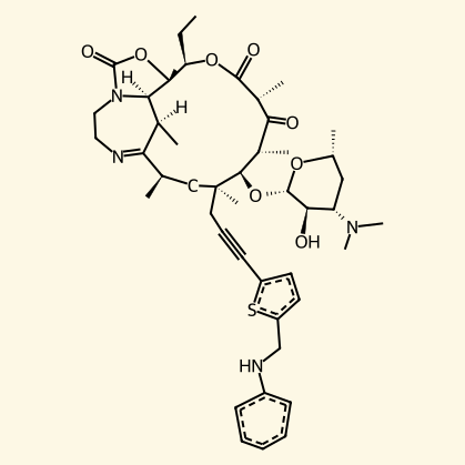 CC[C@H]1OC(=O)[C@H](C)C(=O)[C@H](C)[C@@H](O[C@@H]2O[C@H](C)C[C@H](N(C)C)[C@H]2O)[C@@](C)(CC#Cc2ccc(CNc3ccccc3)s2)C[C@@H](C)C2=NCCN3C(=O)O[C@@]1(C)[C@H]3[C@H]2C